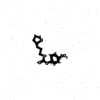 O=C(OCCCC1CCCO1)Oc1ccc([N+](=O)[O-])cc1